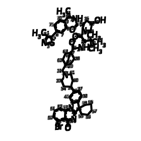 Cc1ncsc1-c1ccc([C@H](C)NC(=O)[C@@H]2C[C@@H](O)CN2C(=O)[C@@H](NC(=O)C23CCC(CN4CCC(c5ccc6c(c5)-n5c(nc(=O)c7c(Br)cccc75)C65CCCCC5)CC4)(CC2)CC3)C(C)(C)C)cc1